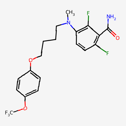 CN(CCCCOc1ccc(OC(F)(F)F)cc1)c1ccc(F)c(C(N)=O)c1F